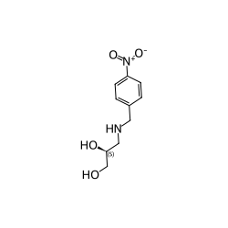 O=[N+]([O-])c1ccc(CNC[C@H](O)CO)cc1